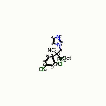 CCCCCCCCC(C#N)(Cn1ccnc1)c1ccc(Cl)cc1Cl.Cl